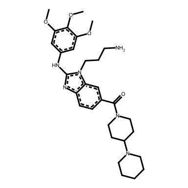 COc1cc(Nc2nc3ccc(C(=O)N4CCC(N5CCCCC5)CC4)cc3n2CCCN)cc(OC)c1OC